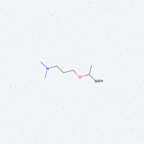 CNC(C)OCCCN(C)C